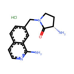 Cl.Nc1nccc2ccc(CN3CC[C@H](N)C3=O)cc12